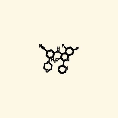 Cc1c(-c2ccccn2)nc2cc(F)cc(F)c2c1Nc1cc(C#N)cc(N2CCOCC2)c1